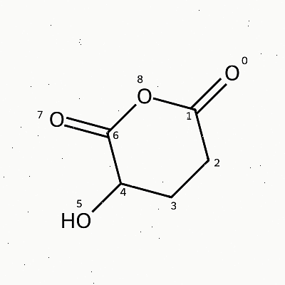 O=C1CCC(O)C(=O)O1